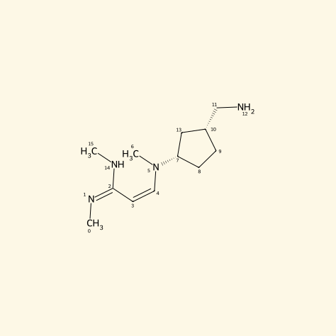 C/N=C(\C=C/N(C)[C@H]1CC[C@@H](CN)C1)NC